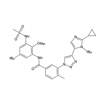 COc1c(NC(=O)c2ccc(C)c(-n3cc(-c4cnc(C5CC5)n4C(C)(C)C)nn3)c2)cc(C(C)(C)C)cc1NS(C)(=O)=O